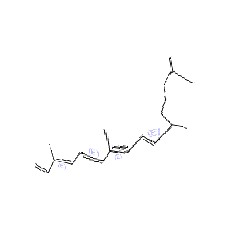 C=C/C(C)=C/C=C/C(C)=C/C=C/C(C)CCCC(C)C